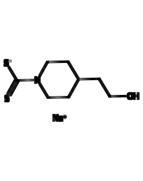 OCCC1CCN(C(=S)[S-])CC1.[Na+]